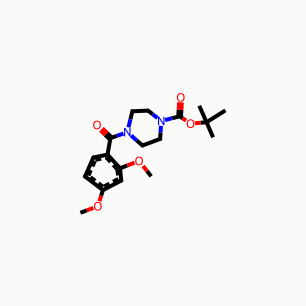 COc1ccc(C(=O)N2CCN(C(=O)OC(C)(C)C)CC2)c(OC)c1